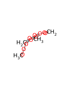 C=CCOOCCCOc1ccc(OC(=O)c2ccc(OC(=O)c3ccc(C(=C)OCCCCOCCCCOC)cc3)cc2C)cc1